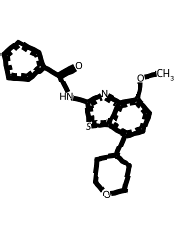 COc1ccc(C2CCOCC2)c2sc(NC(=O)c3ccccc3)nc12